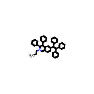 CCC[n+]1cc2ccc(C(=C(c3ccccc3)c3ccccc3)c3ccccc3)cc2c(-c2ccccc2)c1-c1ccccc1